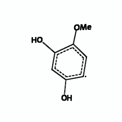 COc1c[c]c(O)cc1O